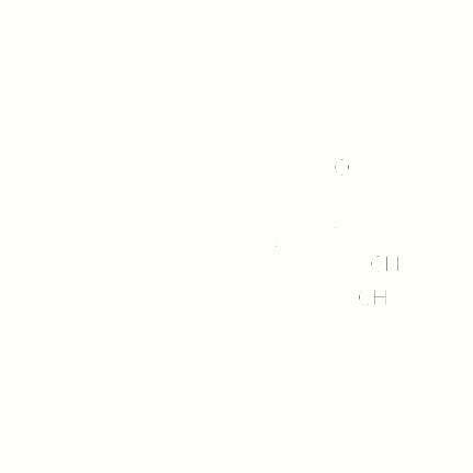 CCC1(C(C)=O)CCc2ccccc2C1